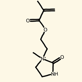 C=C(C)C(=O)OCC[N+]1(C)CCNC1=O